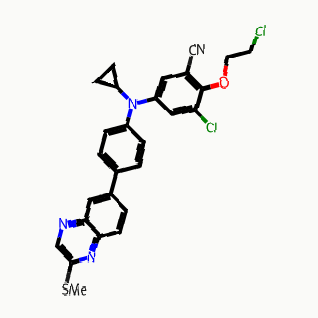 CSc1cnc2cc(-c3ccc(N(c4cc(Cl)c(OCCCl)c(C#N)c4)C4CC4)cc3)ccc2n1